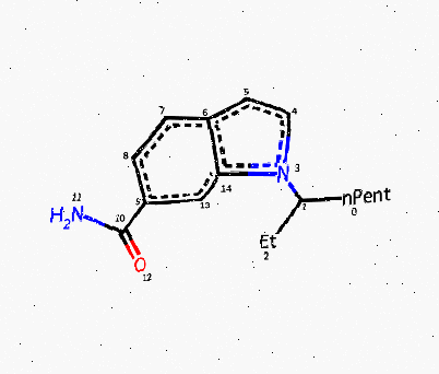 CCCCCC(CC)n1ccc2ccc(C(N)=O)cc21